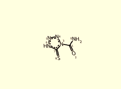 NC(=O)n1nn[nH]c1=S